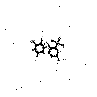 CC(=O)Nc1ccc(O)c([As](=O)(O)O)c1.Oc1ccc(F)cc1Cl